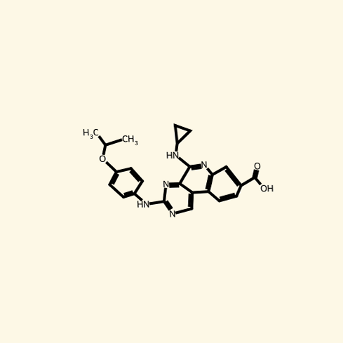 CC(C)Oc1ccc(Nc2ncc3c(n2)c(NC2CC2)nc2cc(C(=O)O)ccc23)cc1